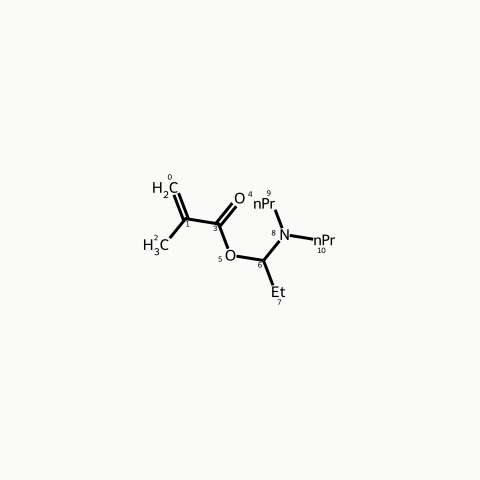 C=C(C)C(=O)OC(CC)N(CCC)CCC